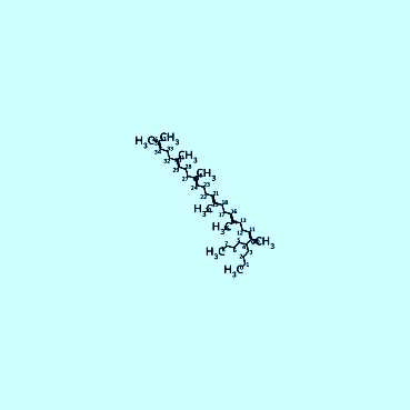 CCCCC(CCCC)C(C)=CCC/C(C)=C/CC/C(C)=C/CC/C=C(\C)CC/C=C(\C)CCC=C(C)C